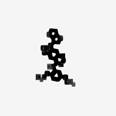 COc1ccc(OC)c(Nc2ncnc3cc(OC4COC5CCOC54)c(OC)cc23)c1